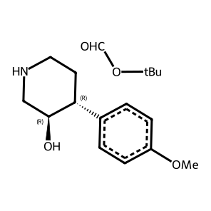 CC(C)(C)OC=O.COc1ccc([C@H]2CCNC[C@@H]2O)cc1